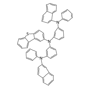 c1ccc(N(c2cccc(N(c3cccc(N(c4ccccc4)c4cccc5ccccc45)c3)c3ccc4sc5ccccc5c4c3)c2)c2ccc3ccccc3c2)cc1